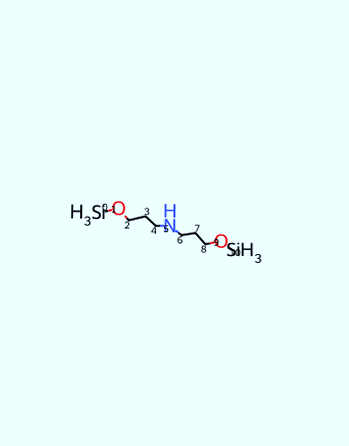 [SiH3]OCCCNCCCO[SiH3]